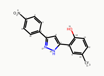 O=[N+]([O-])c1ccc(-c2cc(-c3cc(C(F)(F)F)ccc3O)[nH]n2)cc1